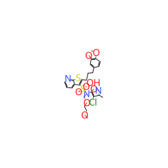 COCCOCN(c1onc(C)c1Cl)S(=O)(=O)c1c(C(O)CCc2ccc3c(c2)OCO3)sc2ncccc12